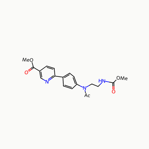 COC(=O)NCCN(C(C)=O)c1ccc(-c2ccc(C(=O)OC)cn2)cc1